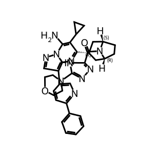 Nc1c(C2CC2)c([C@H]2C[C@H]3CC[C@@H](C2)N3C(=O)c2nnc(N3CCOCC3)[nH]2)nc2c(-c3ccc(-c4ccccc4)nc3)cnn12